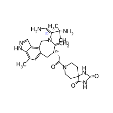 C=C1[C@H](CC(=O)N2CCC3(CC2)NC(=O)NC3=O)Cc2cc(C)c3[nH]ncc3c2CN1/C(=C\N)C(C)(C)N